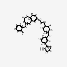 Cc1ccccc1CN1CCCc2ccc(OCCC3CCN(Cc4cccc(C5=NCCN5)c4)CC3)cc2C1